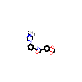 CN1CCN(c2cccc(-c3nc(-c4ccc5c(c4)OCCO5)co3)c2)CC1